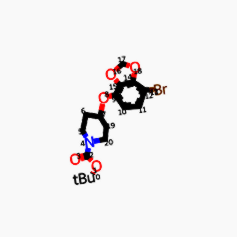 CC(C)(C)OC(=O)N1CCC(Oc2ccc(Br)c3c2OCO3)CC1